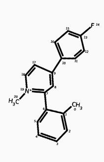 Cc1ccccc1-c1cc(-c2ccc(F)cc2)cc[n+]1C